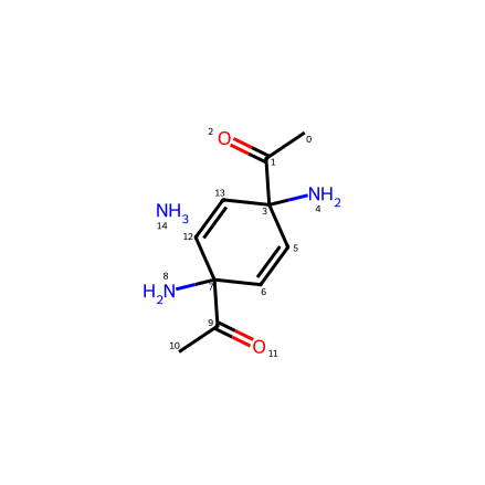 CC(=O)C1(N)C=CC(N)(C(C)=O)C=C1.N